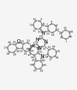 c1ccc(-c2ccc3c4ccccc4n(-c4nc(-c5ccc6c(c5)oc5ccccc56)nc(-c5ccccc5-n5c6ccccc6c6ccccc65)n4)c3c2)cc1